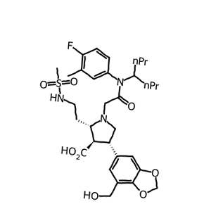 CCCC(CCC)N(C(=O)CN1C[C@H](c2cc(CO)c3c(c2)OCO3)[C@@H](C(=O)O)[C@@H]1CCNS(C)(=O)=O)c1ccc(F)c(C)c1